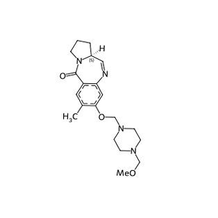 COCN1CCN(COc2cc3c(cc2C)C(=O)N2CCC[C@H]2C=N3)CC1